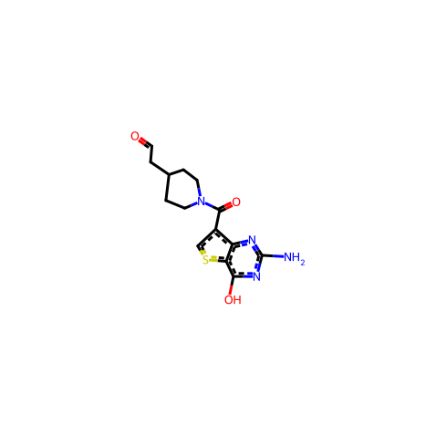 Nc1nc(O)c2scc(C(=O)N3CCC(CC=O)CC3)c2n1